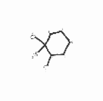 [S]C1(Cl)CCCCC1Cl